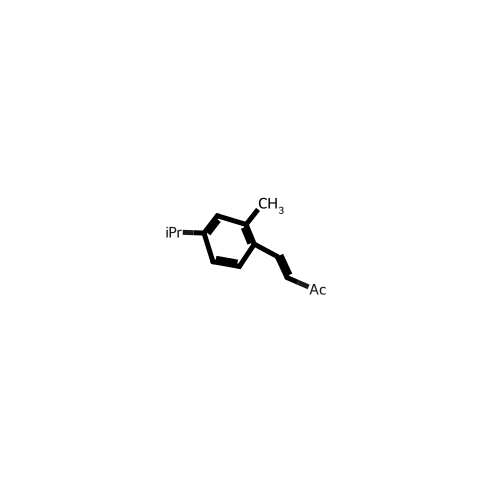 CC(=O)/C=C/c1ccc(C(C)C)cc1C